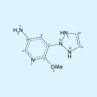 COc1ncc(N)cc1N1NC=CN1